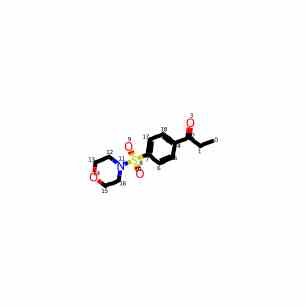 CCC(=O)c1ccc(S(=O)(=O)N2CCOCC2)cc1